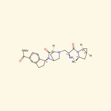 CNC(=O)c1ccc2c(c1)CC[C@@H]2N1C(=O)[C@@H]2CC1CN2C[C@H](N)C(=O)N1[C@H](C#N)C[C@@H]2C[C@@H]21